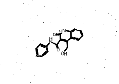 O=C(Nc1ccccc1)c1c(CO)c2ccccc2[nH]c1=O